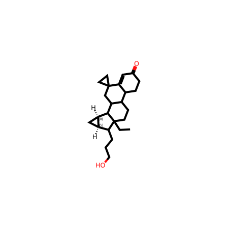 CCC12CCC3C4CCC(=O)C=C4C4(CC4)CC3C1[C@@H]1C[C@@H]1C2CCCO